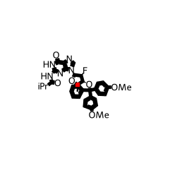 [CH2][C@H]1O[C@@H](n2cnc3c(=O)[nH]c(NC(=O)C(C)C)nc32)[C@H](F)[C@@H]1OC(c1ccccc1)(c1ccc(OC)cc1)c1ccc(OC)cc1